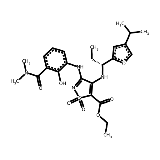 CCOC(=O)C1=C(N[C@H](CC)c2cc(C(C)C)co2)C(Nc2cccc(C(=O)N(C)C)c2O)=NS1(=O)=O